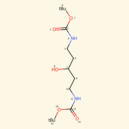 CC(C)(C)OC(=O)NCCC(O)CCNC(=O)OC(C)(C)C